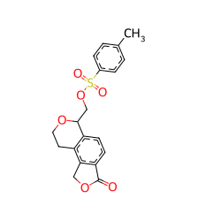 Cc1ccc(S(=O)(=O)OCC2OCCc3c2ccc2c3COC2=O)cc1